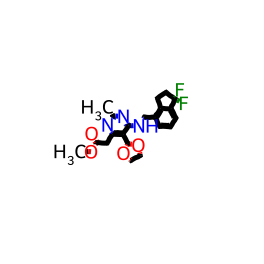 COC(=O)Cc1nc(C)nc(NCc2cccc3c2CCC3(F)F)c1C1OCCO1